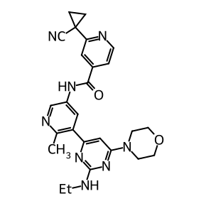 CCNc1nc(-c2cc(NC(=O)c3ccnc(C4(C#N)CC4)c3)cnc2C)cc(N2CCOCC2)n1